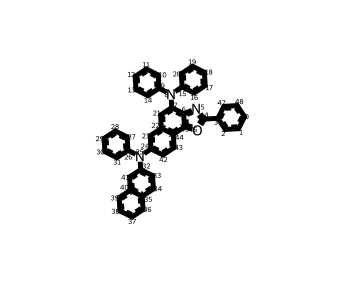 c1ccc(-c2nc3c(N(c4ccccc4)c4ccccc4)cc4cc(N(c5ccccc5)c5ccc6ccccc6c5)ccc4c3o2)cc1